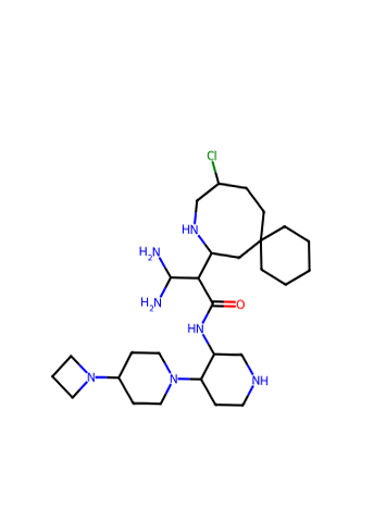 NC(N)C(C(=O)NC1CNCCC1N1CCC(N2CCC2)CC1)C1CC2(CCCCC2)CCC(Cl)CN1